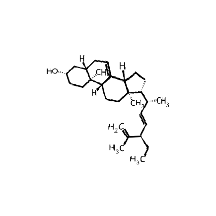 C=C(C)[C@@H](C=C[C@@H](C)[C@H]1CC[C@H]2C3=CC[C@H]4C[C@@H](O)CC[C@]4(C)[C@H]3CC[C@]12C)CC